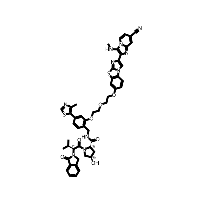 CNc1c(-c2cn3c(n2)sc2cc(OCCOCCOc4cc(-c5scnc5C)ccc4CNC(=O)[C@@H]4C[C@@H](O)CN4C(=O)[C@H](C(C)C)N4Cc5ccccc5C4=O)ccc23)nc2cc(C#N)ccn12